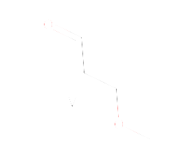 COCCC=O.[V]